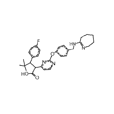 CC(C)(C)C(c1ccc(F)cc1)C(C(=O)O)c1ccnc(Oc2ccc(CNC3=NCCCCC3)cc2)n1